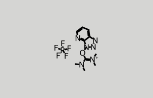 CN(C)C(On1nnc2cccnc21)=[N+](C)C.FP(F)(F)(F)F